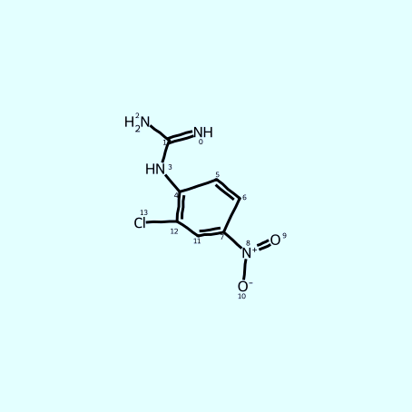 N=C(N)Nc1ccc([N+](=O)[O-])cc1Cl